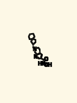 O=C(NO)c1cnc2c(c1)CCN(CC1CCC3(CCCCC3)C1)C2